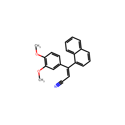 COc1ccc(C(=CC#N)c2cccc3ccccc23)cc1OC